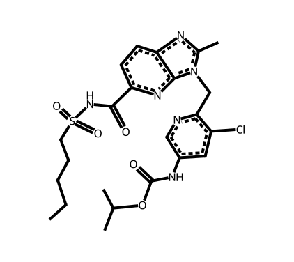 CCCCCS(=O)(=O)NC(=O)c1ccc2nc(C)n(Cc3ncc(NC(=O)OC(C)C)cc3Cl)c2n1